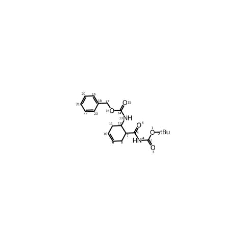 CC(C)(C)OC(=O)NC(=O)C1CC=CCC1NC(=O)OCc1ccccc1